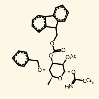 CC(=O)O[C@H]1[C@H](OC(=N)C(Cl)(Cl)Cl)O[C@@H](C)[C@H](OCc2ccccc2)[C@H]1OC(=O)OCC1c2ccccc2-c2ccccc21